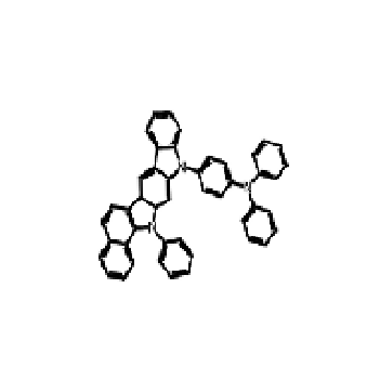 C1=c2c(n(-c3ccc(N(c4ccccc4)c4ccccc4)cc3)c3ccccc23)=CC2C1c1ccc3ccccc3c1N2c1ccccc1